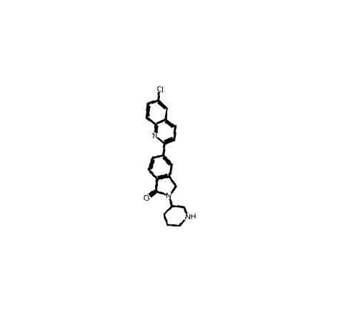 O=C1c2ccc(-c3ccc4cc(Cl)ccc4n3)cc2CN1C1CCCNC1